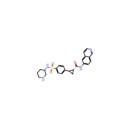 O=C(Nc1ccc2cnccc2c1)[C@@H]1CC1c1ccc(S(=O)(=O)N[C@@H]2CCCNC2)cc1